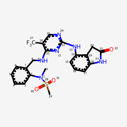 CN(c1ccccc1CNc1nc(Nc2cccc3c2CC(=O)N3)ncc1C(F)(F)F)S(C)(=O)=O